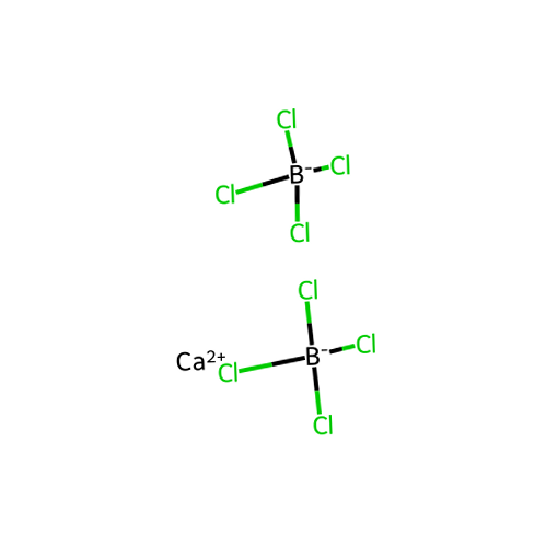 Cl[B-](Cl)(Cl)Cl.Cl[B-](Cl)(Cl)Cl.[Ca+2]